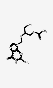 CC(=O)OCC(CO)OCn1cnc2c(=O)[nH]c(N)nc21